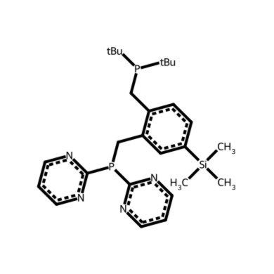 CC(C)(C)P(Cc1ccc([Si](C)(C)C)cc1CP(c1ncccn1)c1ncccn1)C(C)(C)C